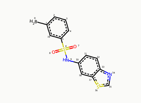 Bc1cccc(S(=O)(=O)Nc2ccc3ncsc3c2)c1